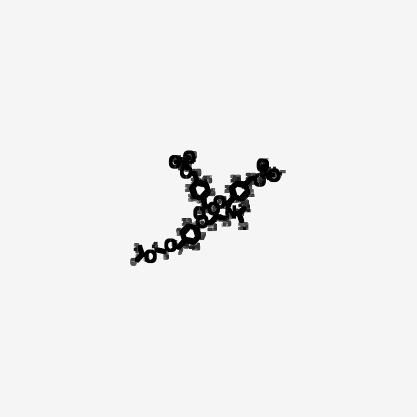 CC(C)OCCOCc1ccc(OCC(CN(C(=O)c2ccc(CO[N+](=O)[O-])cc2)C(C)C)OC(=O)c2ccc(CO[N+](=O)[O-])cc2)cc1